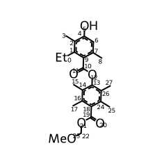 CCc1c(C)c(O)cc(C)c1C(=O)Oc1c(C)c(C)c(C(=O)OCOC)c(C)c1C